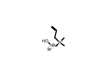 C=CC[N+](C)(C)C.CCCCO.[Br-]